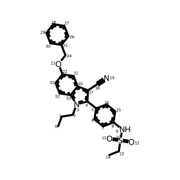 CCCn1c(-c2ccc(NS(=O)(=O)CC)cc2)c(C#N)c2cc(OCc3ccccc3)ccc21